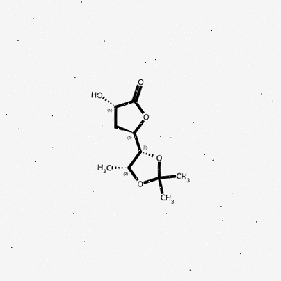 C[C@H]1OC(C)(C)O[C@H]1[C@H]1C[C@H](O)C(=O)O1